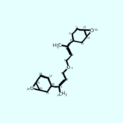 CC(=CCOCC=C(C)C1CCC2OC2C1)C1CCC2OC2C1